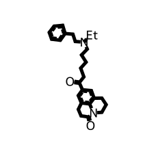 CCN(CCCCCC(=O)c1cc2c3c(c1)CCC(=O)N3CCC2)CCc1ccccc1